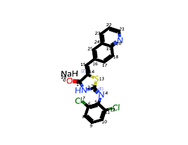 O=C1N/C(=N\c2c(Cl)cccc2Cl)S/C1=C\c1ccc2ncccc2c1.[NaH]